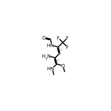 CN/C(OC)=C(N)/C=C(\NC=O)C(F)(F)F